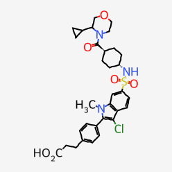 Cn1c(-c2ccc(CCC(=O)O)cc2)c(Cl)c2ccc(S(=O)(=O)N[C@H]3CC[C@H](C(=O)N4CCOCC4C4CC4)CC3)cc21